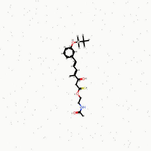 CC(=O)NCCOC(=S)CC(=O)/C(C)=C/C=C/c1cccc(O[Si](C)(C)C(C)(C)C)c1